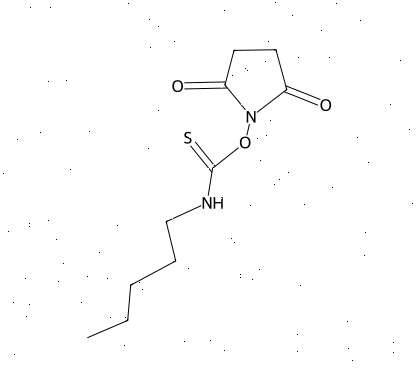 CCCCCNC(=S)ON1C(=O)CCC1=O